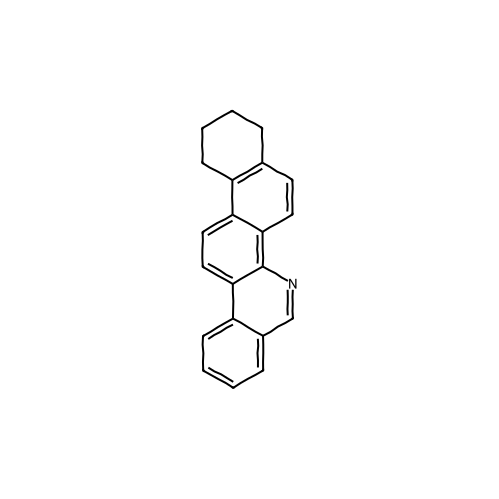 c1ccc2c(c1)cnc1c3ccc4c(c3ccc21)CCCC4